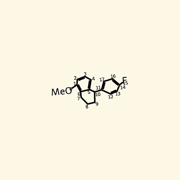 COc1cccc2c1CCCC2c1ccc(F)cc1